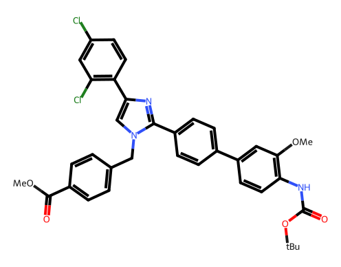 COC(=O)c1ccc(Cn2cc(-c3ccc(Cl)cc3Cl)nc2-c2ccc(-c3ccc(NC(=O)OC(C)(C)C)c(OC)c3)cc2)cc1